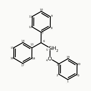 [c]1ccc(O[SiH2]C(c2ccccc2)c2ccccc2)cc1